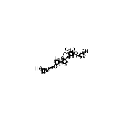 Cc1c(COc2cc(OCc3cncc(C#N)c3)c(C=O)cc2Cl)cccc1-c1cccc(OC/C=C/CN2CC[C@@H](O)C2)c1